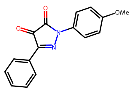 COc1ccc(N2N=C(c3ccccc3)C(=O)C2=O)cc1